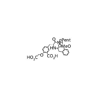 CCCCCNC(=O)[C@@H](Cc1ccc(OCC(=O)O)c(C(=O)O)c1)NC(=O)Cc1ccccc1OC